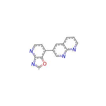 [c]1nc2nccc(-c3cnc4ncccc4c3)c2o1